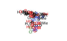 CC[C@]1(O)C[C@H]2C[N@](CCc3c([nH]c4ccccc34)[C@@](C(=O)OC)(c3cc4c(cc3OC)N(C=O)[C@H]3[C@@](O)(C(=O)OC)[C@H](OC(C)=O)[C@]5(CC)C=CCN6CC[C@]43[C@@H]65)C2)C1.COc1cccc2c1C(=O)c1c(O)c3c(c(O)c1C2=O)C[C@@](O)(C(=O)CO)C[C@@H]3O[C@H]1C[C@H](N)[C@H](O)[C@H](C)O1.C[C@]12C=CC(=O)C=C1CC[C@@H]1[C@@H]2C(=O)C[C@@]2(C)[C@H]1CC[C@]2(O)C(=O)CO.O=P1(N(CCCl)CCCl)NCCCO1